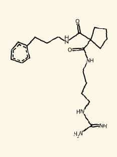 N=C(N)NCCCCNC(=O)C1(C(=O)NCCCc2ccccc2)CCCC1